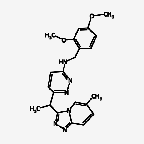 COc1ccc(CNc2ccc(C(C)c3nnc4ccc(C)cn34)nn2)c(OC)c1